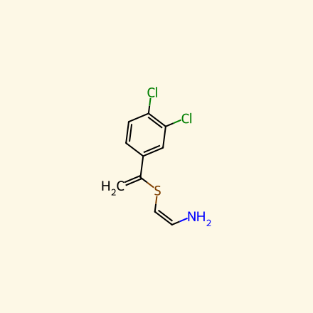 C=C(S/C=C\N)c1ccc(Cl)c(Cl)c1